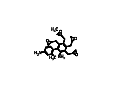 C.Cc1cc(N)ccc1-c1c(N)c(CC2CO2)c(CC2CO2)c(CC2CO2)c1CC1CO1